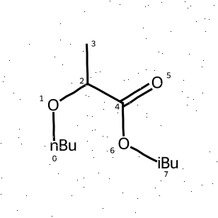 CCCCOC(C)C(=O)OC(C)CC